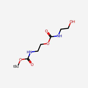 CC(C)(C)OC(=O)NCCOC(=O)NCCO